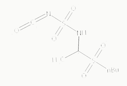 CCCCS(=O)(=O)C(C)NS(=O)(=O)N=C=O